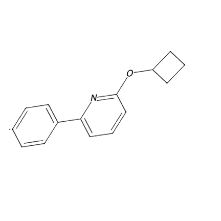 [c]1ccc(-c2cccc(OC3CCC3)n2)cc1